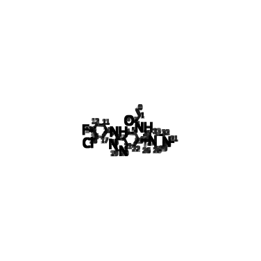 C=CC(=O)Nc1cc2c(Nc3ccc(F)c(Cl)c3)ncnc2cc1C(C)(C)N1CCN(C)CC1